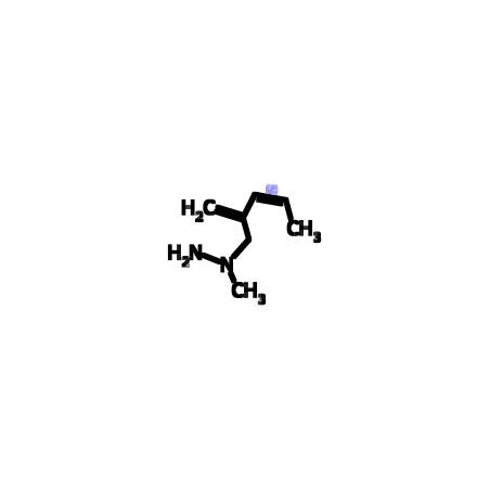 C=C(/C=C\C)CN(C)N